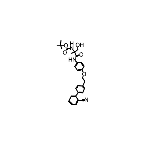 CC(C)(C)OC(=O)NC(C)(CO)C(=O)Nc1ccc(OCCc2ccc(-c3ccccc3C#N)cc2)cc1